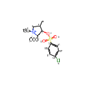 CC1C[N@+](C(=O)[O-])(C(C)(C)C)C[C@@H]1OS(=O)(=O)c1ccc(Cl)cc1